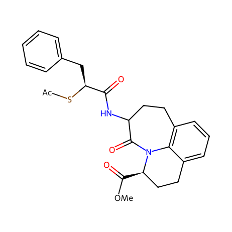 COC(=O)[C@@H]1CCc2cccc3c2N1C(=O)C(NC(=O)[C@H](Cc1ccccc1)SC(C)=O)CC3